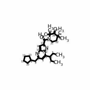 CCC(CC)c1cc(CC2CCCC2)nc2cc(C(=O)N3CCC(C)(C)C(=O)C3(C)C)nn12